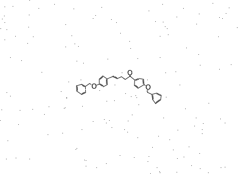 O=C(CCC=Cc1ccc(OCc2ccccc2)cc1)c1ccc(OCc2ccccc2)cc1